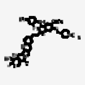 CC[C@@]1(O)C(=O)OCc2c1cc1n(c2=O)Cc2cc3cc(CCc4nc(Nc5ccc(C(C)C)cc5F)c5cc(OC)c(OCC6CCN(C)CC6)cc5n4)ccc3nc2-1